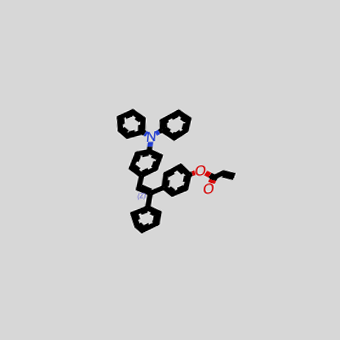 C=CC(=O)Oc1ccc(/C(=C\c2ccc(N(c3ccccc3)c3ccccc3)cc2)c2ccccc2)cc1